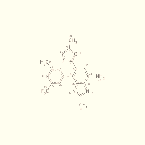 Cc1cc(-c2c(-c3ccc(C)o3)nc(N)n3nc(C(F)(F)F)nc23)cc(C(F)(F)F)n1